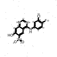 O=[N+]([O-])c1cc2c(Nc3ccc(F)c(Cl)c3)ncnc2cc1O